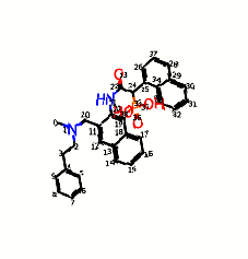 CN(CCc1ccccc1)Cc1cc2ccccc2cc1NC(=O)C(c1cccc2ccccc12)P(=O)(O)O